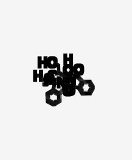 CC(CO)C(O)(N1C(=O)c2ccccc2C1=O)N1C(=O)c2ccccc2C1=O